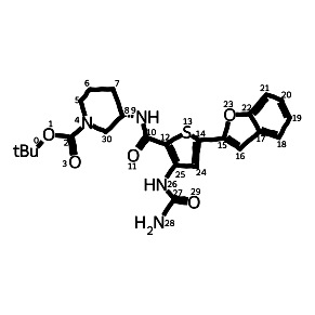 CC(C)(C)OC(=O)N1CCC[C@H](NC(=O)c2sc(-c3cc4ccccc4o3)cc2NC(N)=O)C1